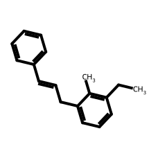 CCc1cccc(CC=Cc2ccccc2)c1C